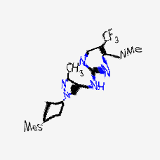 CNc1nc(Nc2cn([C@H]3C[C@@H](SC)C3)nc2C)ncc1C(F)(F)F